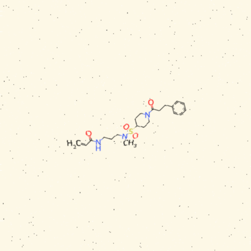 C=CC(=O)NCCCN(C)S(=O)(=O)C1CCN(C(=O)CCc2ccccc2)CC1